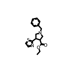 CCOC(=O)C1CN(Cc2ccccc2)CC1c1nccs1